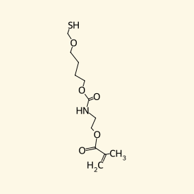 C=C(C)C(=O)OCCNC(=O)OCCCCOCS